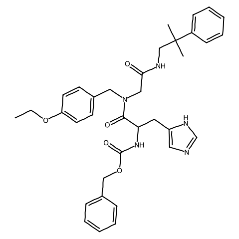 CCOc1ccc(CN(CC(=O)NCC(C)(C)c2ccccc2)C(=O)C(Cc2cnc[nH]2)NC(=O)OCc2ccccc2)cc1